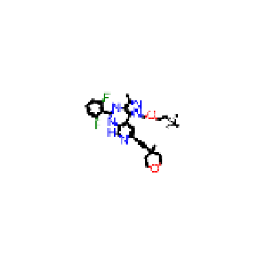 Cc1nn(COCC[Si](C)(C)C)c2c1N=C(c1c(F)cccc1F)Nc1cnc(C#CC3(C)CCOCC3)cc1-2